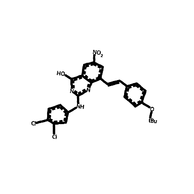 CC(C)(C)Oc1ccc(C=Cc2cc([N+](=O)[O-])cc3c(O)nc(Nc4ccc(Cl)c(Cl)c4)nc23)cc1